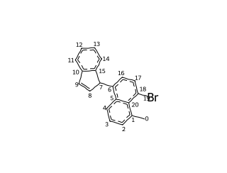 Cc1cccc2c(C3C=Cc4ccccc43)ccc(Br)c12